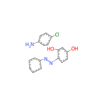 Nc1ccc(Cl)cc1.Oc1ccc(/N=N/c2ccccc2)c(O)c1